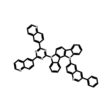 c1ccc(-c2cnc3ccc(-n4c5ccccc5c5ccc6c(c7ccccc7n6-c6nc(-c7ccc8ncccc8c7)nc(-c7ccc8ncccc8c7)n6)c54)cc3c2)cc1